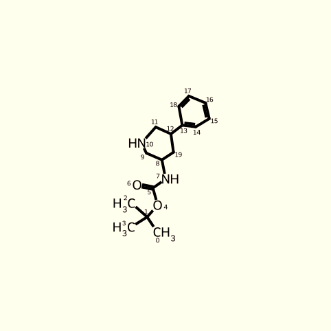 CC(C)(C)OC(=O)NC1CNCC(c2ccccc2)C1